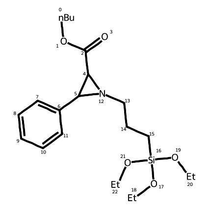 CCCCOC(=O)C1C(c2ccccc2)N1CCC[Si](OCC)(OCC)OCC